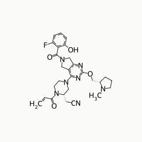 C=CC(=O)N1CCN(c2nc(OC[C@@H]3CCCN3C)nc3c2CN(C(=O)c2c(O)cccc2F)C3)C[C@@H]1CC#N